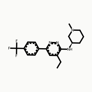 CCc1cc(-c2ccc(C(F)(F)F)cc2)nnc1N[C@@H]1CCCN(C)C1